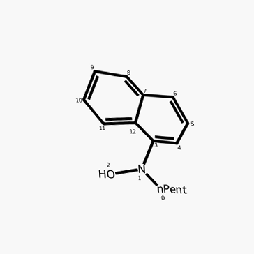 CCCCCN(O)c1cccc2ccccc12